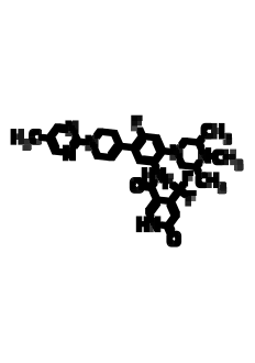 Cc1cnc(N2CC=C(c3cc(NC(=O)c4c[nH]c(=O)cc4C(F)(F)F)c(N4CC(C)N(C)C(C)C4)cc3F)CC2)nc1